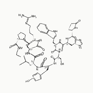 CCNC(=O)[C@@H]1CCCN1C(=O)[C@H](CCCN=C(N)N)NC(=O)[C@H](CC(C)C)NC(=O)[C@@H](CC(C)C)NC(=O)[C@H](Cc1ccc(O)cc1)NC(=O)[C@H](CO)NC(=O)[C@@H](Cc1c[nH]c2ccccc12)NC(=O)[C@H](Cc1cnc[nH]1)NC(=O)C1CCC(=O)N1